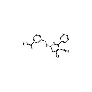 N#Cc1c(Cl)nc(SCc2cccc(C(=O)O)c2)nc1-c1ccccc1